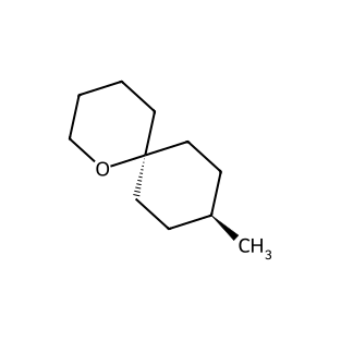 C[C@H]1CC[C@]2(CCCCO2)CC1